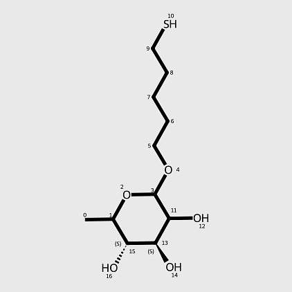 CC1OC(OCCCCCS)C(O)[C@@H](O)[C@@H]1O